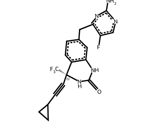 Nc1ncc(F)c(Cc2ccc3c(c2)NC(=O)N[C@]3(C#CC2CC2)C(F)(F)F)n1